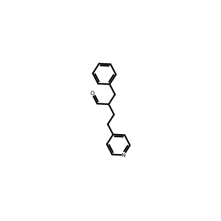 O=CC(CCc1ccncc1)Cc1ccccc1